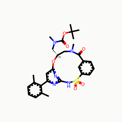 Cc1cccc(C)c1-c1cc2nc(n1)NS(=O)(=O)c1cccc(c1)C(=O)N(C)C[C@@H](CN(C)C(=O)OC(C)(C)C)O2